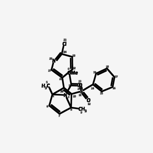 COC(=O)N1C2(C)C=CC1(C)C(S(=O)(=O)c1ccccc1)=C2c1ccc(Cl)nc1